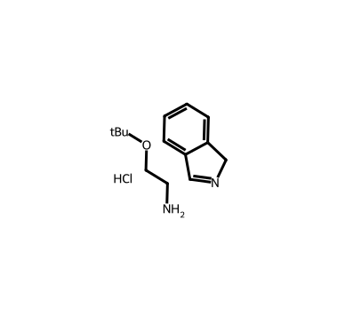 C1=NCc2ccccc21.CC(C)(C)OCCN.Cl